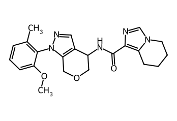 COc1cccc(C)c1-n1ncc2c1COCC2NC(=O)c1ncn2c1CCCC2